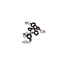 CCCCCCCCOc1cc(OCCCCCCCC)cc(N2c3ccccc3C3(c4cc(C#N)ccc4-c4ccc(C#N)cc43)c3ccccc32)c1